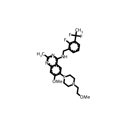 COCCN1CCP(c2cc3c(NCc4cccc(C(C)(F)F)c4F)nc(C)nc3cc2OC)CC1